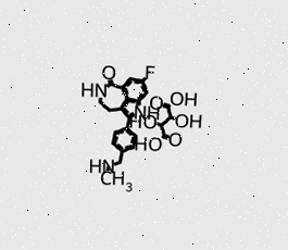 CNCc1ccc(-c2[nH]c3cc(F)cc4c3c2CCNC4=O)cc1.O=C(O)C(O)C(O)C(=O)O